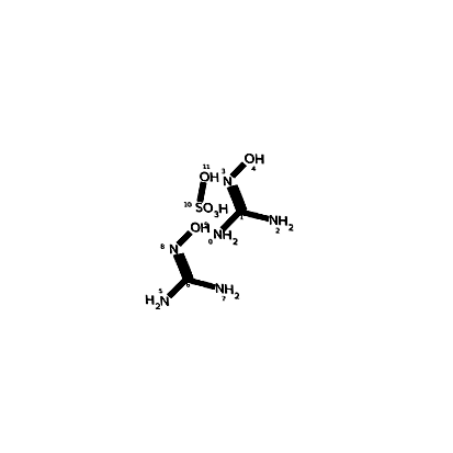 NC(N)=NO.NC(N)=NO.O=S(=O)(O)O